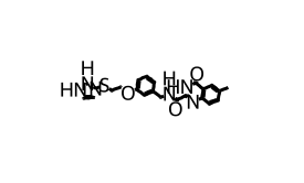 Cc1ccc2nc(C(=O)NCc3cccc(OCCSN4C=CNN4)c3)[nH]c(=O)c2c1